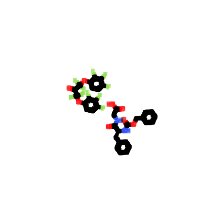 O=C(C(F)(F)Oc1ccc(F)c(F)c1F)C(F)(F)Oc1ccc(F)c(F)c1F.O=C(O)CNC(=O)[C@H](Cc1ccccc1)NC(=O)OCc1ccccc1